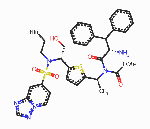 COC(=O)N(C(=O)[C@@H](N)C(c1ccccc1)c1ccccc1)[C@H](c1ccc([C@@H](CO)N(CCC(C)(C)C)S(=O)(=O)c2ccn3ncnc3c2)s1)C(F)(F)F